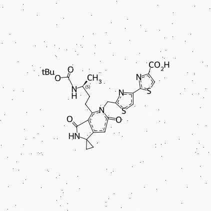 C[C@@H](CCc1c2c(cc(=O)n1Cc1nc(-c3nc(C(=O)O)cs3)cs1)C1(CC1)NC2=O)NC(=O)OC(C)(C)C